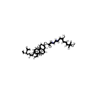 CC[C@H](CC[C@@H](C)[C@H]1CC[C@H]2[C@@H]3CC=C4CC(OC(=O)/C=C/C=C/C[C@@H](C)CCCC(C)(C)OC)CC[C@]4(C)[C@H]3CC[C@]12C)C(C)C